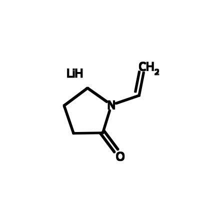 C=CN1CCCC1=O.[LiH]